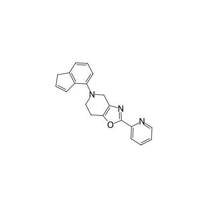 C1=Cc2c(cccc2N2CCc3oc(-c4ccccn4)nc3C2)C1